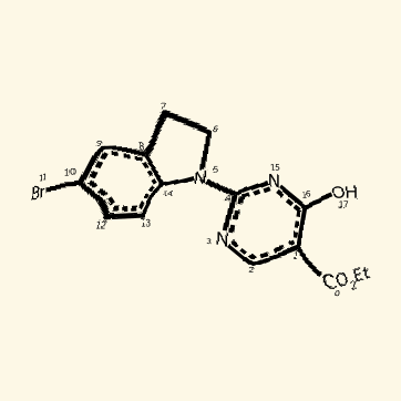 CCOC(=O)c1cnc(N2CCc3cc(Br)ccc32)nc1O